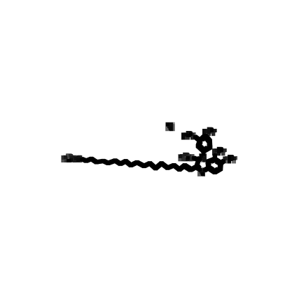 CCCCCCCCCCCCCCCCCCCCCCCCCCCC=CC(=Nc1ccc(CCC)c(CCC)c1)C(CCCC)=Nc1ccc(CCC)c(CCC)c1.[Ni]